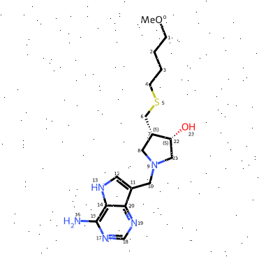 COCCCCSC[C@H]1CN(Cc2c[nH]c3c(N)ncnc23)C[C@H]1O